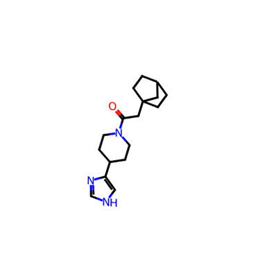 O=C(CC12CCC(CC1)C2)N1CCC(c2c[nH]cn2)CC1